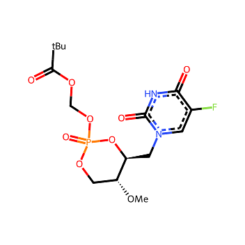 CO[C@@H]1COP(=O)(OCOC(=O)C(C)(C)C)O[C@H]1Cn1cc(F)c(=O)[nH]c1=O